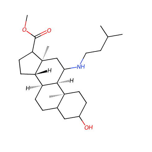 COC(=O)C1CC[C@H]2[C@@H]3CCC4CC(O)CC[C@]4(C)[C@@H]3C(NCCC(C)C)C[C@]12C